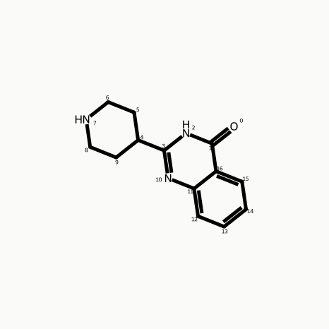 O=c1[nH]c(C2CCNCC2)nc2ccccc12